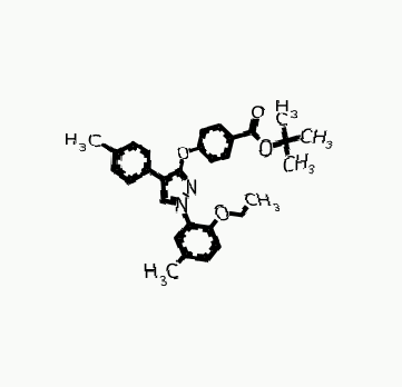 CCOc1ccc(C)cc1-n1cc(-c2ccc(C)cc2)c(Oc2ccc(C(=O)OC(C)(C)C)cc2)n1